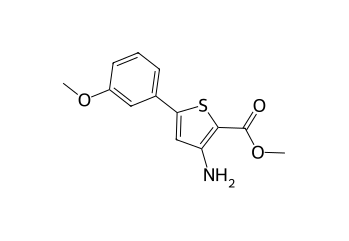 COC(=O)c1sc(-c2cccc(OC)c2)cc1N